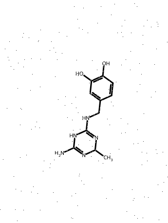 CC1N=C(N)NC(NCc2ccc(O)c(O)c2)=N1